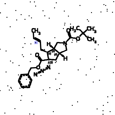 C/C=C/C[C@H]1[C@@H]2CN(C(=O)OC(C)(C)C)C[C@@H]2C[C@@]1(N=[N+]=[N-])C(=O)OCc1ccccc1